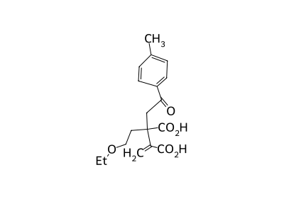 C=C(C(=O)O)C(CCOCC)(CC(=O)c1ccc(C)cc1)C(=O)O